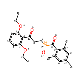 CCOc1cccc(OCC)c1C(=O)CC[PH](=O)C(=O)c1c(C)cc(C)cc1C